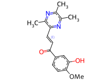 COc1ccc(C(=O)/C=C/c2nc(C)c(C)nc2C)cc1O